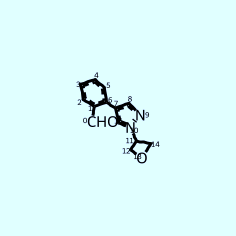 O=Cc1ccccc1-c1cnn(C2COC2)c1